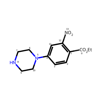 CCOC(=O)c1ccc(N2CCNCC2)cc1[N+](=O)[O-]